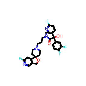 CN(CCCN1CCC2(CC1)OCc1cnc(F)cc12)C(=O)C(O)(c1ccc(F)nc1)c1ccc(F)c(F)c1